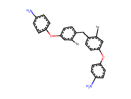 [2H]c1cc(Oc2ccc(N)cc2)ccc1Cc1ccc(Oc2ccc(N)cc2)cc1[2H]